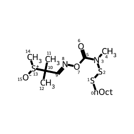 CCCCCCCCSSN(C)C(=O)ON=CC(C)(C)[S+](C)[O-]